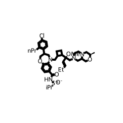 CC/C=C/[C@](CN1CCN2C[C@@H](C)OCC2C1)(OC)C1CCC1CN1CC(c2ccc(Cl)cc2CCC)COc2ccc(C(=O)N[S+]([O-])C(C)C)cc21